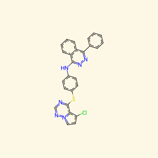 Clc1ccn2ncnc(Sc3ccc(Nc4nnc(-c5ccccc5)c5ccccc45)cc3)c12